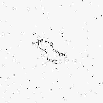 C=COCCCC.[CH]=CCCO